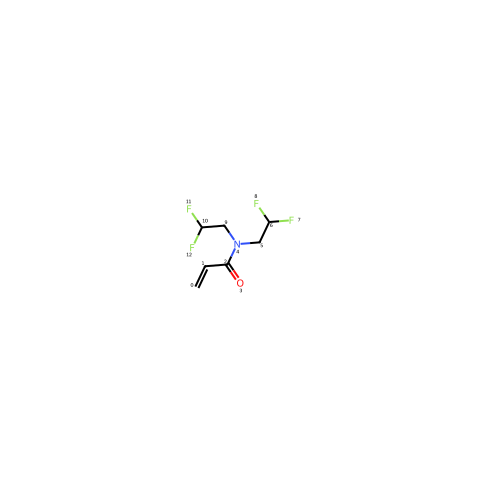 C=CC(=O)N(CC(F)F)CC(F)F